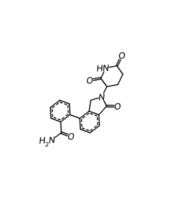 NC(=O)c1ccccc1-c1cccc2c1CN(C1CCC(=O)NC1=O)C2=O